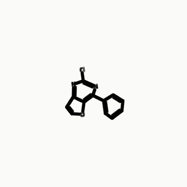 Clc1nc(-c2ccccc2)c2occc2n1